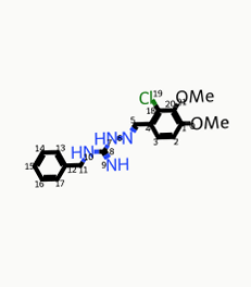 COc1ccc(/C=N/NC(=N)NCc2ccccc2)c(Cl)c1OC